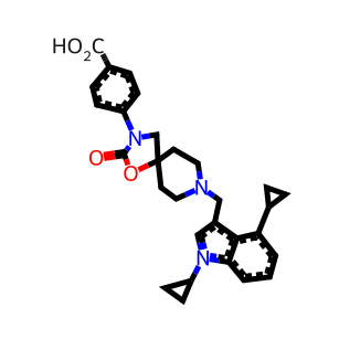 O=C(O)c1ccc(N2CC3(CCN(Cc4cn(C5CC5)c5cccc(C6CC6)c45)CC3)OC2=O)cc1